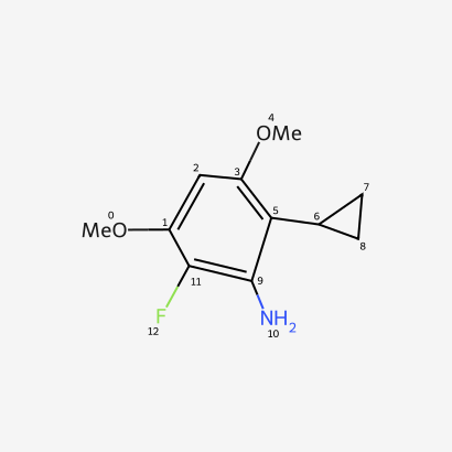 COc1cc(OC)c(C2CC2)c(N)c1F